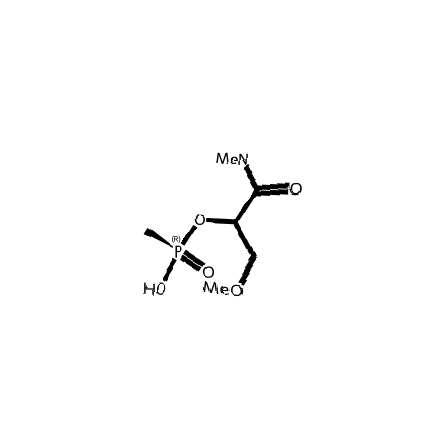 CNC(=O)C(COC)O[P@](C)(=O)O